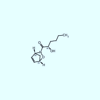 CCCC[C@@H](O)C(=O)N1O[C@@H]2C=C[C@H]1C2